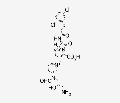 NCC(O)CN(C=O)c1ccc[n+](CC2=C(C(=O)O)N3C(=O)[C@H](NC(=O)CSc4cc(Cl)ccc4Cl)[C@H]3SC2)c1